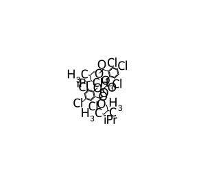 CC(C)C(C)C(C)COC(=O)c1c(Cl)c(Cl)cc(Cl)c1OC(=O)C(=O)Oc1c(Cl)cc(Cl)c(Cl)c1C(=O)OCC(C)C(C)C(C)C